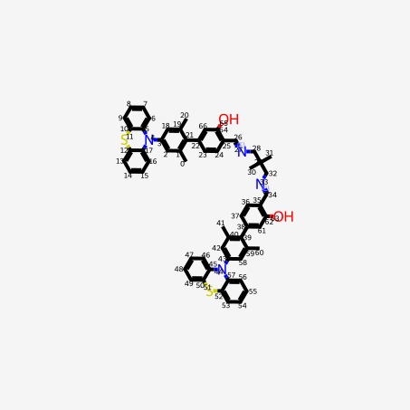 Cc1cc(N2c3ccccc3Sc3ccccc32)cc(C)c1-c1ccc(/C=N/CC(C)(C)C/N=C/c2ccc(-c3c(C)cc(N4c5ccccc5Sc5ccccc54)cc3C)cc2O)c(O)c1